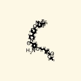 CC(C)(C)OC(=O)N1CC(CCCOc2ccc(C(=O)N3CCC(c4ccc(Oc5ccc(C(F)(F)F)nn5)cc4)CC3)cc2N)C1